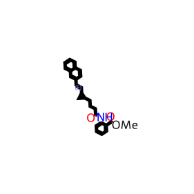 COC(=O)c1ccccc1NC(=O)CCCC1CC1/C=C/c1ccc2ccccc2c1